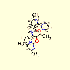 CCC(Oc1nc(C)cc(C)n1)C(CC)N(CC)C(=O)c1ccc(C)nc1-c1ncccn1